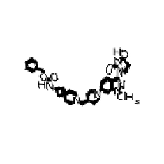 Cn1nc(N2CCC(=O)NC2=O)c2ccc(N3CCC(CN4CCC5(CC4)CC(NC(=O)OCc4ccccc4)C5)CC3)cc21